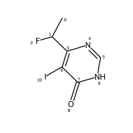 CC(F)c1nc[nH]c(=O)c1I